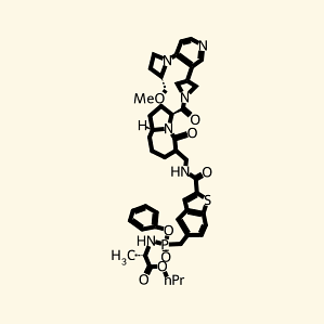 CCCOC(=O)[C@H](C)NP(=O)(Cc1ccc2sc(C(=O)NCC3CCC[C@H]4CC[C@@H](C(=O)N5CC(c6cnccc6N6CC[C@H]6COC)C5)N4C3=O)cc2c1)Oc1ccccc1